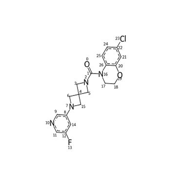 O=C(N1CC2(C1)CN(c1cncc(F)c1)C2)N1CCOc2cc(Cl)ccc21